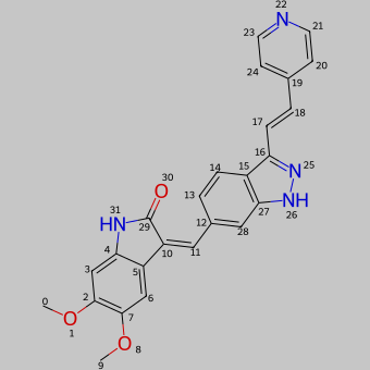 COc1cc2c(cc1OC)C(=Cc1ccc3c(C=Cc4ccncc4)n[nH]c3c1)C(=O)N2